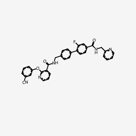 N#Cc1cccc(Oc2ncccc2C(=O)NCc2ccc(-c3ccc(C(=O)NCc4ccccn4)cc3F)cc2)c1